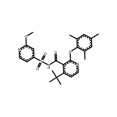 COc1cc(S(=O)(=O)NC(=O)c2c(C(C)(C)C)ccnc2Oc2c(C)cc(C)cc2C)ccn1